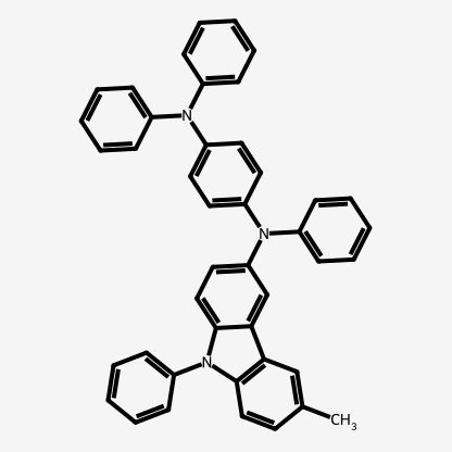 Cc1ccc2c(c1)c1cc(N(c3ccccc3)c3ccc(N(c4ccccc4)c4ccccc4)cc3)ccc1n2-c1ccccc1